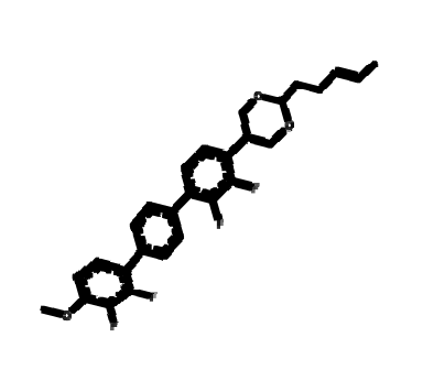 C/C=C/CCC1OCC(c2ccc(-c3ccc(-c4ccc(OC)c(F)c4F)cc3)c(F)c2F)CO1